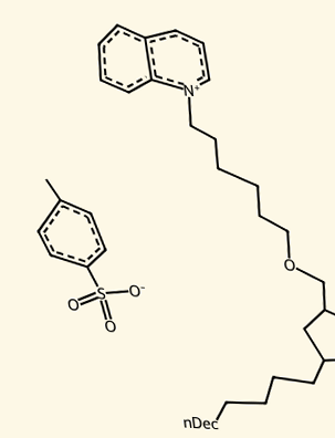 CCCCCCCCCCCCCCC1COC(COCCCCCC[n+]2cccc3ccccc32)C1.Cc1ccc(S(=O)(=O)[O-])cc1